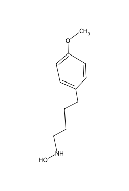 COc1ccc(CCCCNO)cc1